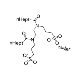 CCCCCCCC(=O)N(CCCS(=O)(=O)[O-])CCN(CCCS(=O)(=O)[O-])C(=O)CCCCCCC.[Na+].[Na+]